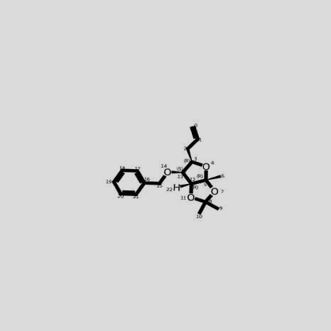 C=CC[C@H]1O[C@]2(C)OC(C)(C)O[C@@H]2[C@H]1OCc1ccccc1